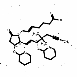 CC#CCC(C)(C)[C@@H](C=C[C@H]1[C@H](OC2CCCCO2)CC(=O)[C@@H]1CC=CCCCC(=O)O)OC1CCCCO1